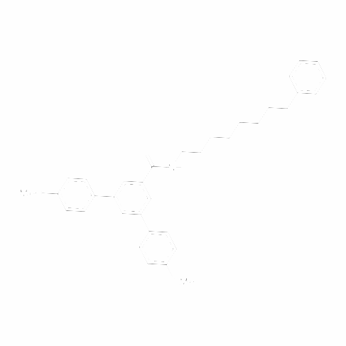 COc1ccc(-c2cc(C(=O)NCCCCCCCCc3ccccc3)cc(-c3ccc(OC)cc3)c2)cc1